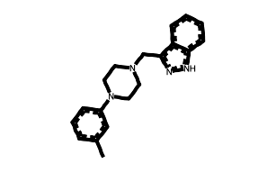 Cc1cccc(N2CCN(Cc3n[nH]c4ccccc34)CC2)c1